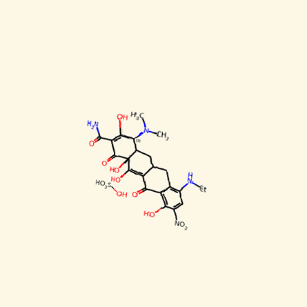 CCNc1cc([N+](=O)[O-])c(O)c2c1CC1CC3[C@H](N(C)C)C(O)=C(C(N)=O)C(=O)C3(O)C(O)=C1C2=O.O=S(=O)(O)O